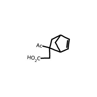 CC(=O)C1(CC(=O)O)CC2C=CC1C2